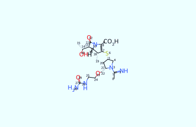 CC(=N)N1C[C@@H](SC2=C(C(=O)O)N3C(=O)[C@H]([C@@H](C)O)[C@H]3[C@H]2C)C[C@H]1COCCNC(N)=O